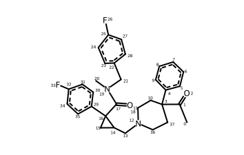 CC(=O)C1(c2ccccc2)CCN(CC2CC2(C(=O)N(C)Cc2ccc(F)cc2)c2ccc(F)cc2)CC1